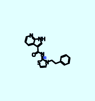 O=C(/N=c1\sccn1CCc1ccccc1)c1c[nH]c2ncccc12